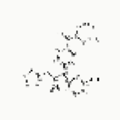 CCN(CC)C(=O)c1ccc(N(c2cccc(O)c2)C(C)CN2CCCC2)cc1